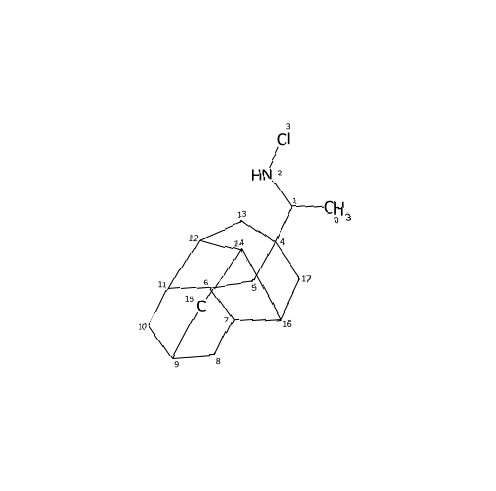 CC(NCl)C12CC3C4CC5CC3C(C1)C(C5)C4C2